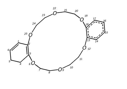 C1=CC2=C(CC1)OCCOCCOc1ccccc1OCCOCCO2